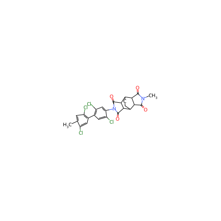 Cc1cc(Cl)c(-c2cc(Cl)c(N3C(=O)C4C5CCC(C6C(=O)N(C)C(=O)C56)C4C3=O)cc2Cl)cc1Cl